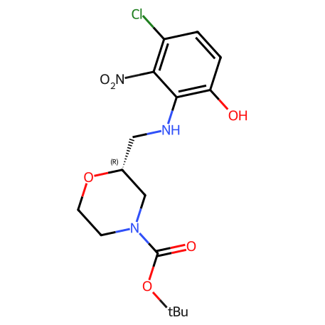 CC(C)(C)OC(=O)N1CCO[C@H](CNc2c(O)ccc(Cl)c2[N+](=O)[O-])C1